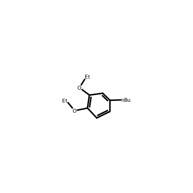 CCCCc1ccc(OCC)c(OCC)c1